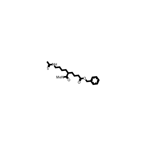 CNC(=O)C(CCCCNC(C)=S)CCCC(=O)OCc1ccccc1